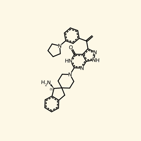 C=C(c1cccc(N2CCCC2)c1)c1n[nH]c2nc(N3CCC4(CC3)Cc3ccccc3[C@H]4N)[nH]c(=O)c12